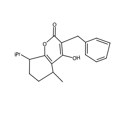 CC1CCC(C(C)C)c2oc(=O)c(Cc3ccccc3)c(O)c21